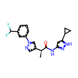 C[C@H](C(=O)Nc1cc(C2CC2)[nH]n1)c1cnn(-c2cccc(C(F)F)c2)c1